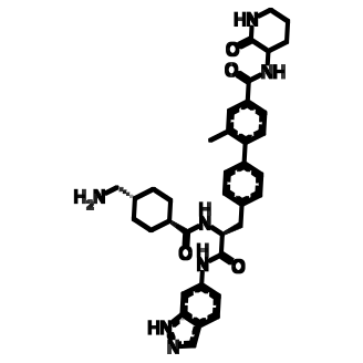 Cc1cc(C(=O)NC2CCCNC2=O)ccc1-c1ccc(C[C@H](NC(=O)[C@H]2CC[C@H](CN)CC2)C(=O)Nc2ccc3cn[nH]c3c2)cc1